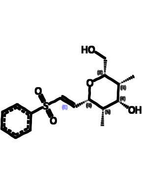 C[C@@H]1[C@H](O)[C@H](C)[C@H](/C=C/S(=O)(=O)c2ccccc2)O[C@@H]1CO